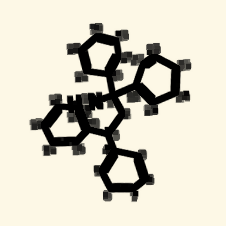 NC(C[C](c1ccccc1)c1ccccc1)(c1ccccc1)c1ccccc1